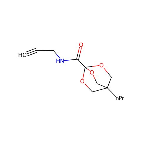 C#CCNC(=O)C12OCC(CCC)(CO1)CO2